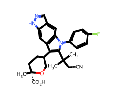 CC(C)(CC#N)c1c(C2CC[C@@](C)(C(=O)O)OC2)c2cc3[nH]ncc3cc2n1-c1ccc(F)cc1